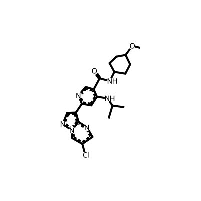 COC1CCC(NC(=O)c2cnc(-c3cnn4cc(Cl)cnc34)cc2NC(C)C)CC1